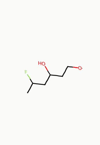 CC(F)CC(O)CC[O]